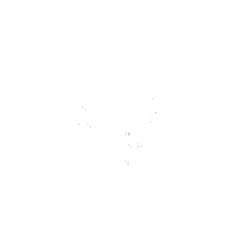 CN1CCN(CC2CC(C3=C4C=NC=C[N+]4(N)C(c4cccc(OCc5ccccc5)c4)=N3)C2)CC1